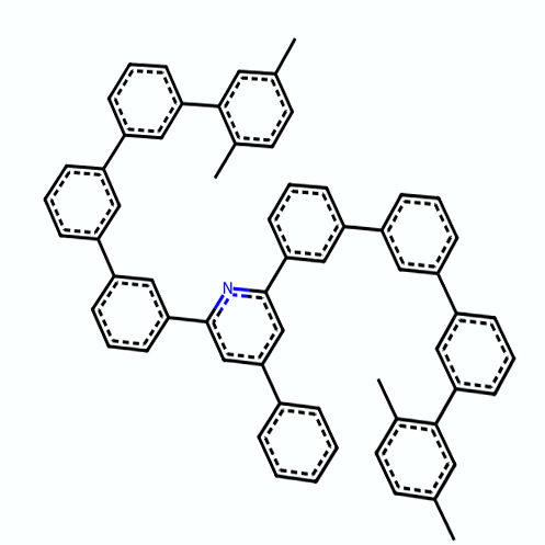 Cc1ccc(C)c(-c2cccc(-c3cccc(-c4cccc(-c5cc(-c6ccccc6)cc(-c6cccc(-c7cccc(-c8cccc(-c9cc(C)ccc9C)c8)c7)c6)n5)c4)c3)c2)c1